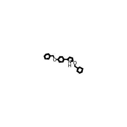 c1ccc(COc2ccc(-c3ccc(OCc4ccccc4)[nH]3)cc2)cc1